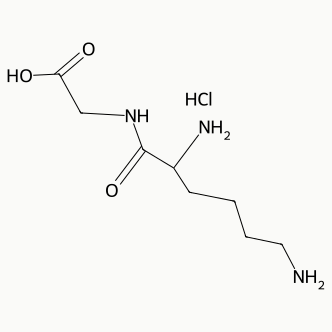 Cl.NCCCCC(N)C(=O)NCC(=O)O